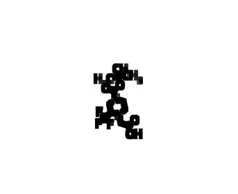 CC(C)(C)OC(=O)N1CCN(CC(=O)O)C(C(F)(F)F)C1